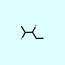 CC[C](F)C(C)F